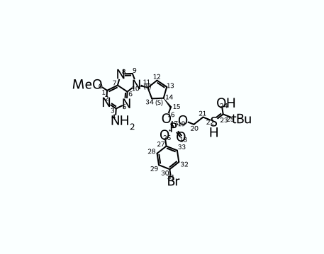 COc1nc(N)nc2c1ncn2[C@H]1C=C[C@@H](COP(=O)(OCC[SH]=C(O)C(C)(C)C)Oc2ccc(Br)cc2)C1